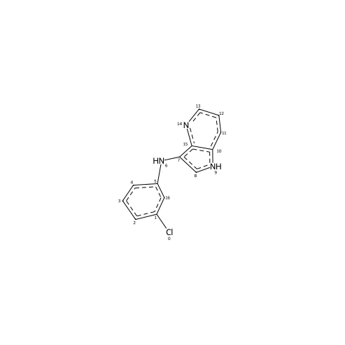 Clc1cccc(Nc2c[nH]c3cccnc23)c1